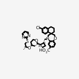 C[C@H](CSc1ncccn1)O[C@H]1CCO[C@H]([C@@H]2CC[C@H]2CN2CC3(CCCc4cc(Cl)ccc43)COc3ccc(C(=O)O)cc32)C1